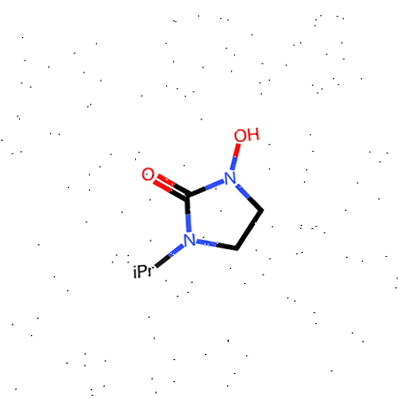 CC(C)N1CCN(O)C1=O